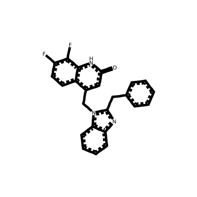 O=c1cc(Cn2c(Cc3ccccc3)nc3ccccc32)c2ccc(F)c(F)c2[nH]1